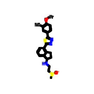 CC(C)Oc1ccc(-c2nnc(-c3cccc4c3CCC4NCC[S+](C)[O-])s2)cc1C#N